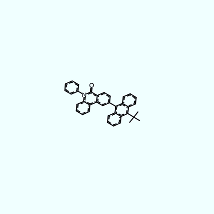 CC(C)(C)c1c2ccccc2c(-c2ccc3c(=O)n(-c4ccccc4)c4ccccc4c3c2)c2ccccc12